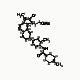 COCCn1c(=O)n(C)c2cnc3ccc(-c4ccc(NC(=O)N5CCN(C)CC5)c(C)c4)cc3c21